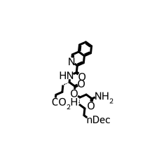 CCCCCCCCCCCCC[C@@H](CC(N)=O)OC(=O)[C@H](CCCC(=O)O)NC(=O)c1cc2ccccc2cn1